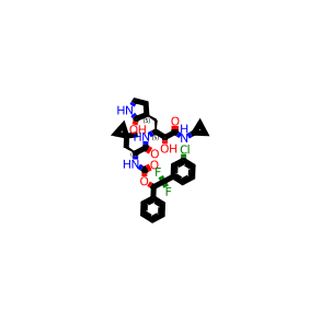 CC1(C[C@H](NC(=O)OC(c2ccccc2)C(F)(F)c2cccc(Cl)c2)C(=O)N[C@@H](C[C@@H]2CCNC2O)C(O)C(=O)NC2CC2)CC1